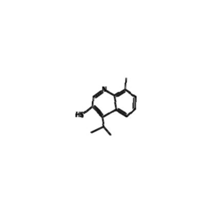 Cc1cccc2c(C(C)C)c(S)cnc12